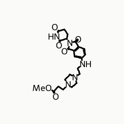 COC(=O)CCN1CCN(CCNc2ccc3c(c2)C(=O)N(C2CCC(=O)NC2=O)C3=O)CC1